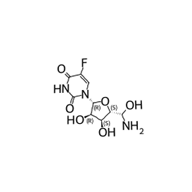 NC(O)[C@H]1O[C@@H](n2cc(F)c(=O)[nH]c2=O)[C@H](O)[C@@H]1O